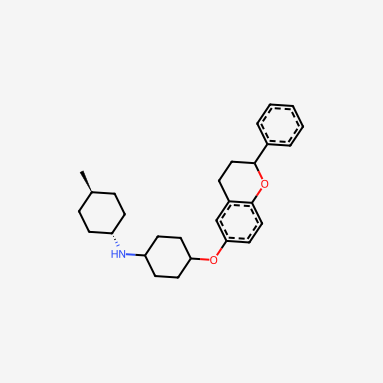 C[C@H]1CC[C@H](NC2CCC(Oc3ccc4c(c3)CCC(c3ccccc3)O4)CC2)CC1